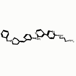 NCCCNc1ccc(-c2ccnc(Nc3cccc(C=C4CCN(Cc5ccccc5)CC4)c3)c2)cn1